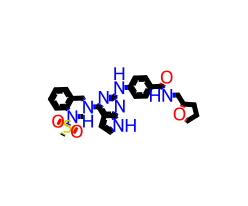 CN(c1ccccc1CNc1nc(Nc2ccc(C(=O)NCC3CCCO3)cc2)nc2[nH]ccc12)S(C)(=O)=O